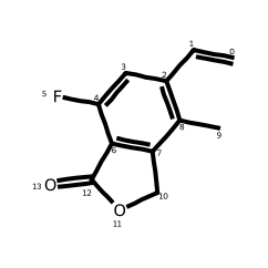 C=Cc1cc(F)c2c(c1C)COC2=O